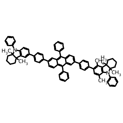 Cc1cc(-c2ccc(-c3ccc4c(-c5ccccc5)c5cc(-c6ccc(-c7ccc8c(c7)C7(C)CCCCC7(C)N8c7ccccc7)cc6)ccc5c(-c5ccccc5)c4c3)cc2)c(C)c2c1N(c1ccccc1)C1(C)CCCCC21C